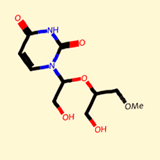 COCC(CO)OC(CO)n1ccc(=O)[nH]c1=O